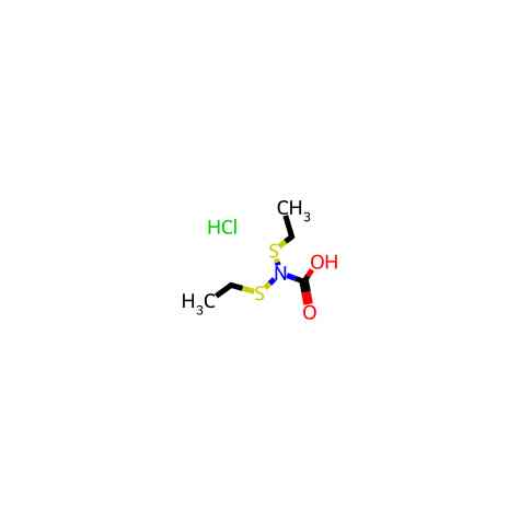 CCSN(SCC)C(=O)O.Cl